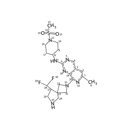 Cc1cc2cnc(NC3CCN(S(C)(=O)=O)CC3)nc2c(N2CC3(CNCC3C(F)F)C2)n1